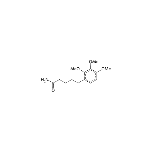 COc1ccc(CCCCC(N)=O)c(OC)c1OC